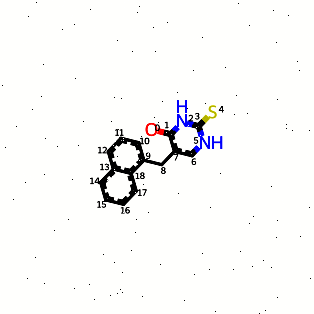 O=c1[nH]c(=S)[nH]cc1Cc1cccc2ccccc12